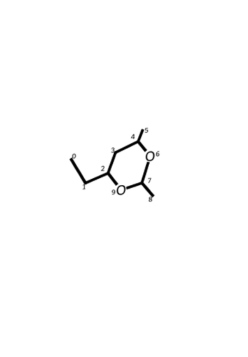 CCC1CC(C)OC(C)O1